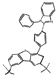 CC(C)(C)c1ccc2sc3c(c2c1)=CC(C(C)(C)C)CC=3c1ccc(-c2nc3ccccc3n2-c2ccccc2)cc1